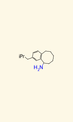 CC(C)Cc1ccc2c(c1)C(N)CCCCC2